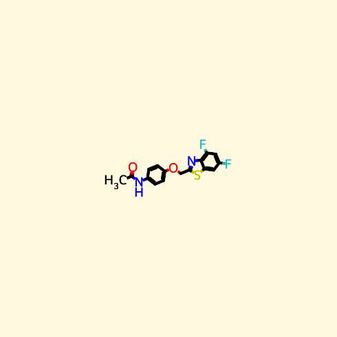 CC(=O)Nc1ccc(OCc2nc3c(F)cc(F)cc3s2)cc1